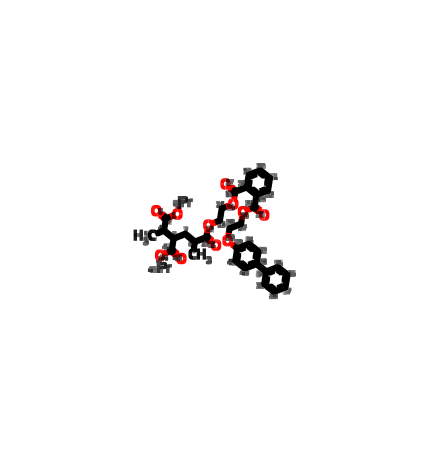 CC(C)OC(=O)C(C)C(CC(C)C(=O)OCCOC(=O)c1ccccc1C(=O)OCCOc1ccc(-c2ccccc2)cc1)C(=O)OC(C)C